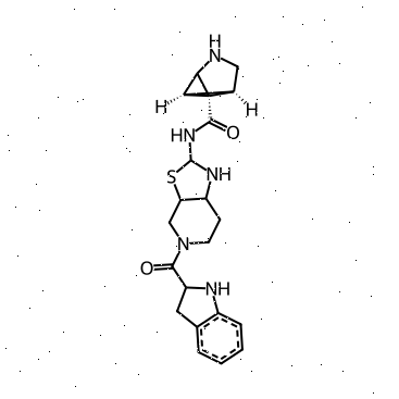 O=C(C1Cc2ccccc2N1)N1CCC2NC(NC(=O)[C@]34C5NC[C@@H]3[C@H]54)SC2C1